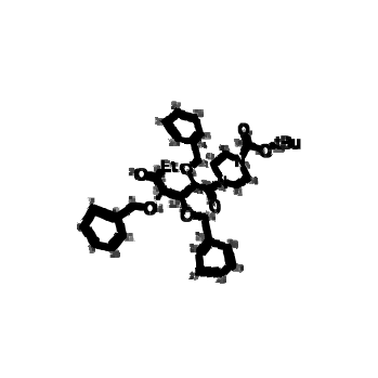 CCC(=O)[C@@H](OCc1ccccc1)[C@H](OCc1ccccc1)[C@@H](OCc1ccccc1)C(=O)N1CCN(C(=O)OC(C)(C)C)CC1